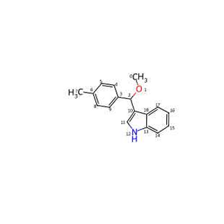 COC(c1ccc(C)cc1)c1c[nH]c2ccccc12